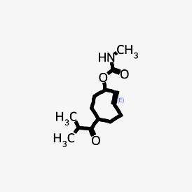 CNC(=O)OC1/C=C/CCC(C(=O)C(C)C)CC1